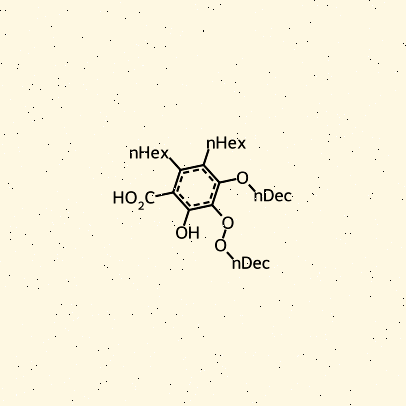 CCCCCCCCCCOOc1c(O)c(C(=O)O)c(CCCCCC)c(CCCCCC)c1OCCCCCCCCCC